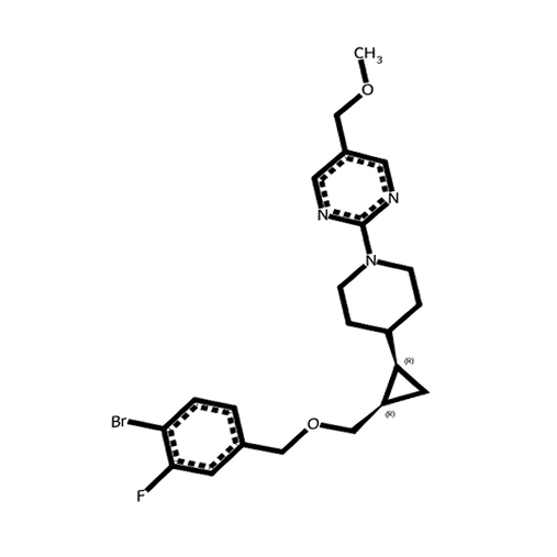 COCc1cnc(N2CCC([C@H]3C[C@H]3COCc3ccc(Br)c(F)c3)CC2)nc1